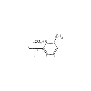 Bc1cccc(C(C)(C)C(=O)O)c1